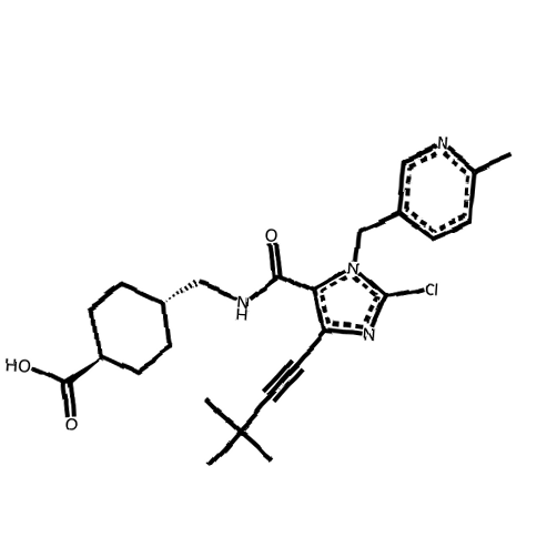 Cc1ccc(Cn2c(Cl)nc(C#CC(C)(C)C)c2C(=O)NC[C@H]2CC[C@H](C(=O)O)CC2)cn1